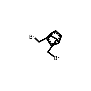 BrCC1c2ccc(cc2)C1CBr